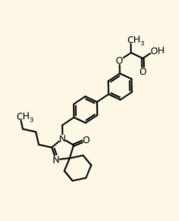 CCCCC1=NC2(CCCCC2)C(=O)N1Cc1ccc(-c2cccc(OC(C)C(=O)O)c2)cc1